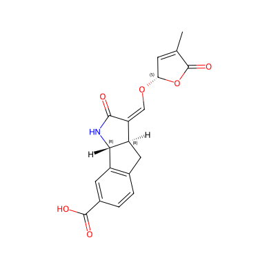 CC1=C[C@@H](OC=C2C(=O)N[C@H]3c4cc(C(=O)O)ccc4C[C@H]23)OC1=O